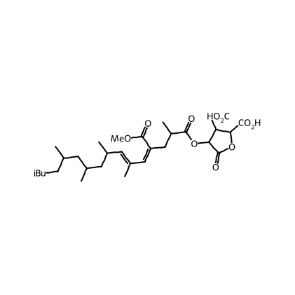 CCC(C)CC(C)CC(C)CC(C)C=C(C)C=C(CC(C)C(=O)OC1C(=O)OC(C(=O)O)C1C(=O)O)C(=O)OC